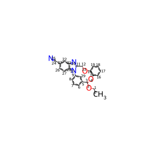 CCOC(=O)c1cccc(-n2c(COc3ccccc3)nc3cc(C#N)ccc32)c1